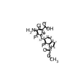 COCC(=O)n1ccc2ccc(Cc3nc(C(=O)O)c(Cl)c(N)c3F)c(F)c21